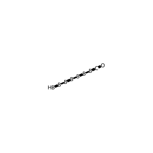 B=B/B=B\B=B/B=C=O